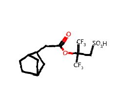 O=C(CC1CC2CCC1C2)OC(CS(=O)(=O)O)(C(F)(F)F)C(F)(F)F